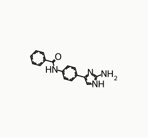 Nc1nc(-c2ccc(NC(=O)c3ccccc3)cc2)c[nH]1